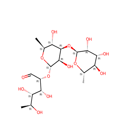 C[C@H](O)[C@H](O)[C@@H](O)[C@H](C=O)O[C@@H]1O[C@@H](C)[C@H](O)[C@@H](O[C@@H]2O[C@@H](C)[C@H](O)[C@@H](O)[C@H]2O)[C@H]1O